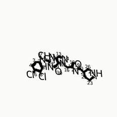 CN(c1ccc(Cl)c(Cl)c1)c1nc2cnn(Cc3coc(C4CCCNC4)n3)c2c(=O)[nH]1